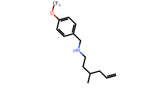 C=CCC(C)CCNCc1ccc(OC(F)(F)F)cc1